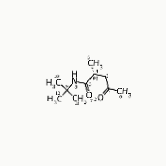 CC(=O)C[C@@H](C)C(=O)NC(C)(C)C